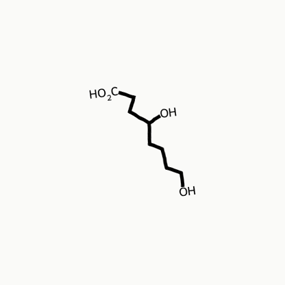 O=C(O)CCC(O)CCCCO